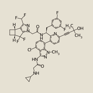 Cn1nc(NC(=O)CNC2CC2)c2c(Cl)ccc(-c3ccc(C#CC(C)(C)O)nc3[C@H](Cc3cc(F)cc(F)c3)NC(=O)Cn3nc(C(F)F)c4c3C(F)(F)[C@@H]3CC[C@H]43)c21